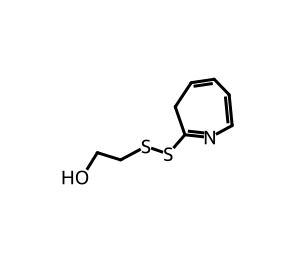 OCCSSC1=NC=CC=CC1